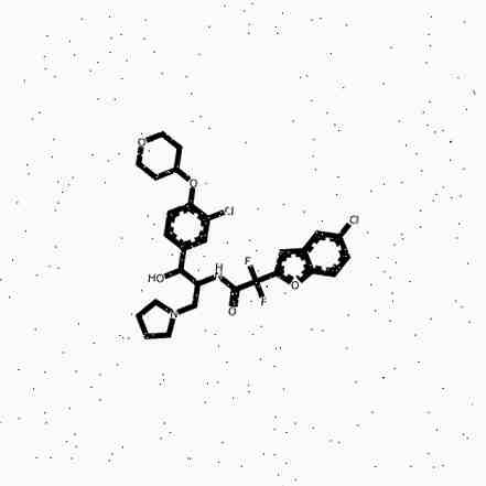 O=C(NC(CN1CCCC1)C(O)c1ccc(OC2CCOCC2)c(Cl)c1)C(F)(F)c1cc2cc(Cl)ccc2o1